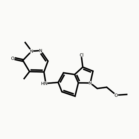 COCCn1cc(Cl)c2cc(Nc3cnn(C)c(=O)c3C)ccc21